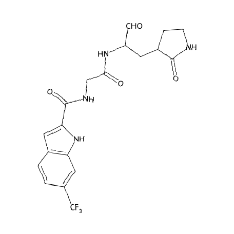 O=CC(CC1CCNC1=O)NC(=O)CNC(=O)c1cc2ccc(C(F)(F)F)cc2[nH]1